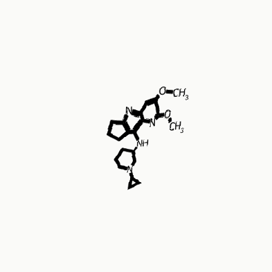 COc1cc2nc3c(c(N[C@@H]4CCCN(C5CC5)C4)c2nc1OC)CCC3